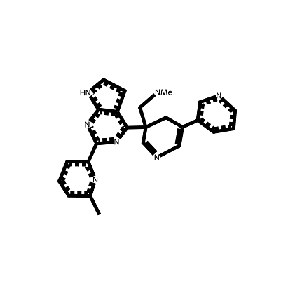 CNCC1(c2nc(-c3cccc(C)n3)nc3[nH]ccc23)C=NC=C(c2cccnc2)C1